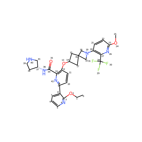 CCOc1ncccc1-c1ccc(OC2CC3(C2)CN(c2ccc(OC)nc2C(F)(F)F)C3)c(C(=O)N[C@@H]2CCNC2)n1